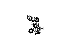 Cc1csc(Nc2ncc(SC(c3ccccn3)C3CCN(C)CC3)cc2Oc2ccccc2)n1